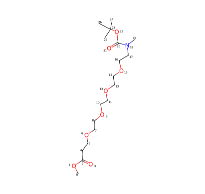 COC(=O)CCOCCOCCOCCOCCN(C)C(=O)OC(C)(C)C